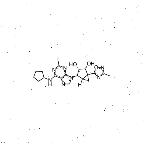 Cc1noc([C@@]23C[C@@H]2[C@@H](n2cnc4c(NC5CCCC5)nc(I)nc42)[C@H](O)[C@@H]3O)n1